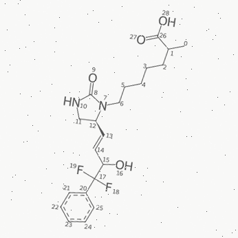 CC(CCCCCN1C(=O)NC[C@@H]1/C=C/C(O)C(F)(F)c1ccccc1)C(=O)O